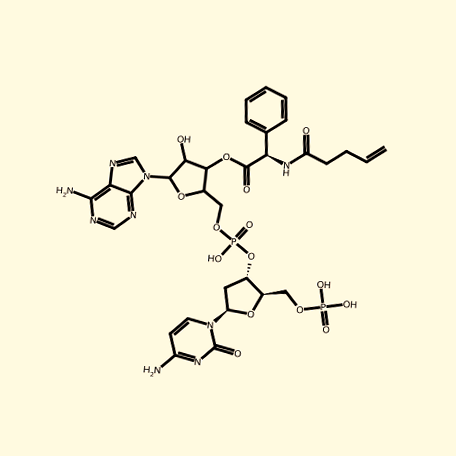 C=CCCC(=O)N[C@@H](C(=O)OC1C(COP(=O)(O)O[C@H]2C[C@H](n3ccc(N)nc3=O)O[C@@H]2COP(=O)(O)O)OC(n2cnc3c(N)ncnc32)C1O)c1ccccc1